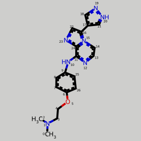 CN(C)CCOc1ccc(Nc2nccn3c(-c4cn[nH]c4)cnc23)cc1